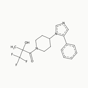 CC(O)(C(=O)N1CCC(n2cncc2-c2ccccc2)CC1)C(F)(F)F